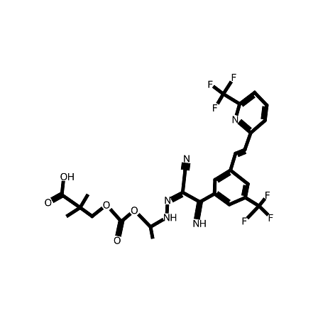 CC(N/N=C(/C#N)C(=N)c1cc(/C=C/c2cccc(C(F)(F)F)n2)cc(C(F)(F)F)c1)OC(=O)OCC(C)(C)C(=O)O